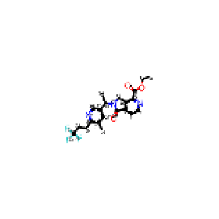 CCOC(=O)c1nccc2c1CN(C(C)c1cnc(CCC(F)(F)F)c(C)c1)C2=O